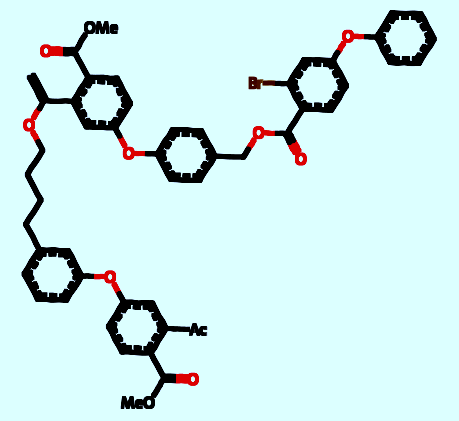 C=C(OCCCCc1cccc(Oc2ccc(C(=O)OC)c(C(C)=O)c2)c1)c1cc(Oc2ccc(COC(=O)c3ccc(Oc4ccccc4)cc3Br)cc2)ccc1C(=O)OC